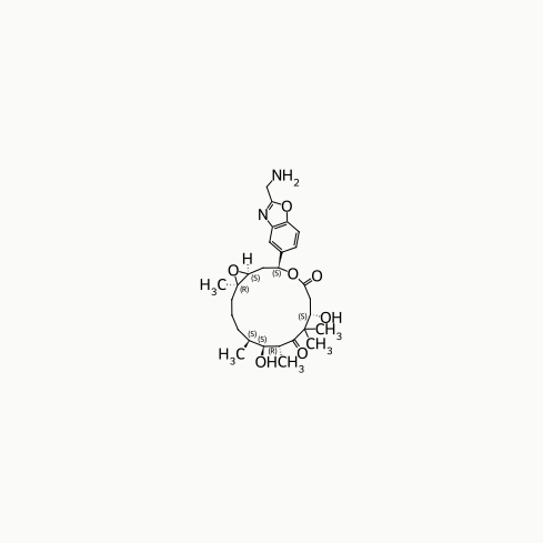 C[C@H]1CCC[C@@]2(C)O[C@H]2C[C@@H](c2ccc3oc(CN)nc3c2)OC(=O)C[C@H](O)C(C)(C)C(=O)[C@H](C)[C@H]1O